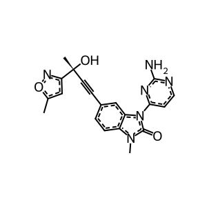 Cc1cc([C@](C)(O)C#Cc2ccc3c(c2)n(-c2ccnc(N)n2)c(=O)n3C)no1